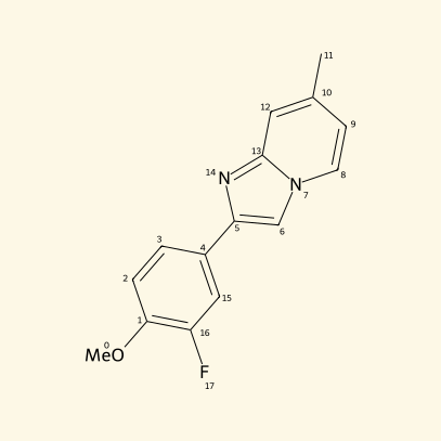 COc1ccc(-c2cn3ccc(C)cc3n2)cc1F